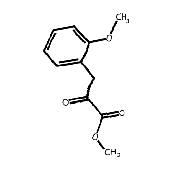 COC(=O)C(=O)Cc1ccccc1OC